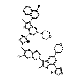 Cc1nc2c(-c3nnc[nH]3)cc(N3CCOCC3)cc2n1-c1cnc2cc(Cc3nnc(-c4cc(N5CCOCC5)cc5c4nc(C)n5-c4ccc(F)c5ccccc45)[nH]3)c(Cl)cc2c1